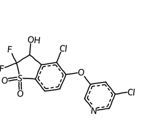 O=S1(=O)c2ccc(Oc3cncc(Cl)c3)c(Cl)c2C(O)C1(F)F